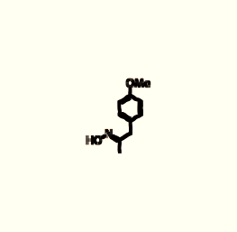 COc1ccc(CC(C)=NO)cc1